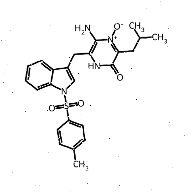 Cc1ccc(S(=O)(=O)n2cc(Cc3[nH]c(=O)c(CC(C)C)[n+]([O-])c3N)c3ccccc32)cc1